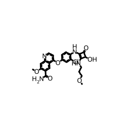 COCCCNC1=C(Nc2ccc(Oc3ccnc4cc(OC)c(C(N)=O)cc34)cc2Cl)C(=O)C1O